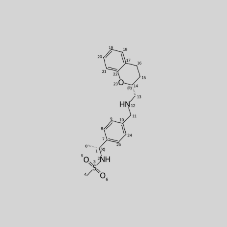 C[C@@H](NS(C)(=O)=O)c1ccc(CNC[C@H]2CCc3ccccc3O2)cc1